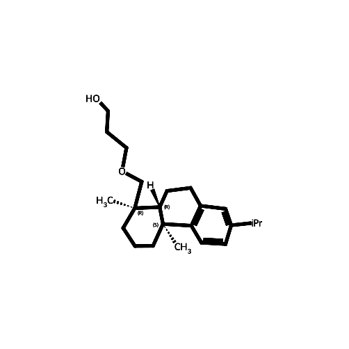 CC(C)c1ccc2c(c1)CC[C@H]1[C@](C)(COCCCO)CCC[C@]21C